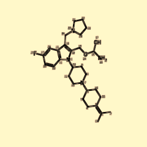 CC(C)=C1CCC(N2CCC(n3c(COC(N)O)c(CN4CCCC4)c4cc(F)ccc43)CC2)CC1